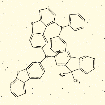 CC1(C)c2ccccc2-c2ccc(N(c3ccc4c(c3)oc3ccccc34)c3ccc4sc5cccc(N(c6ccccc6)c6ccccc6)c5c4c3)cc21